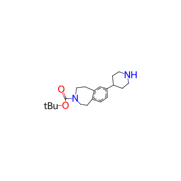 CC(C)(C)OC(=O)N1CCc2ccc(C3CCNCC3)cc2CC1